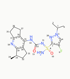 CC(C)n1cc(F)c(S(N)(=O)=NC(=O)Nc2c3c(nc4c2CC[C@H]4C)CCC3)n1